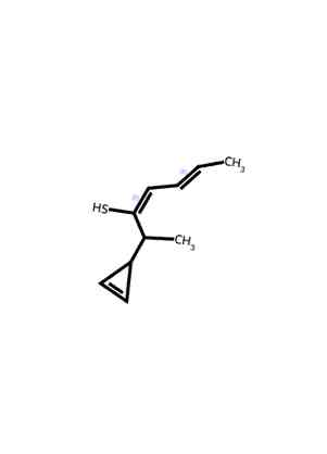 C/C=C/C=C(/S)C(C)C1C=C1